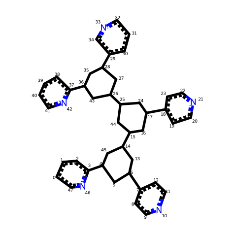 c1ccc(C2CC(c3ccncc3)CC(C3CC(c4ccncc4)CC(C4CC(c5cccnc5)CC(c5ccccn5)C4)C3)C2)nc1